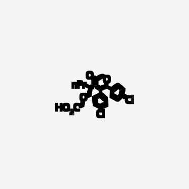 CCC[C@H](COCC(=O)O)N1C(=O)CO[C@@H](c2ccc(Cl)cc2)[C@H]1c1ccc(Cl)cc1